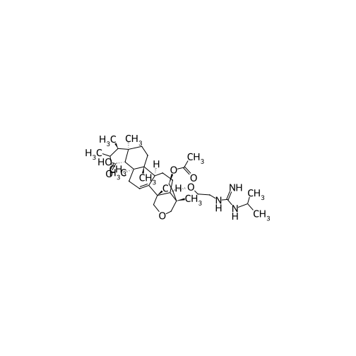 CC(=O)O[C@@H]1C[C@]23COC[C@](C)([C@@H]2CC[C@H]2C3=CC[C@@]3(C)[C@H](C(=O)O)[C@@](C)([C@H](C)C(C)C)CC[C@]23C)[C@H]1OCCNC(=N)NC(C)C